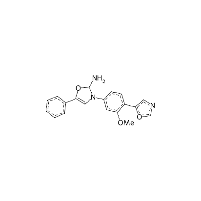 COc1cc(N2C=C(c3ccccc3)OC2N)ccc1-c1cnco1